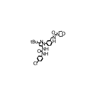 CC(C)(C)c1cc(NC(=O)Nc2ccc(Cl)cc2)n(-c2cccc(CNC(=O)N3CCOCC3)c2)n1